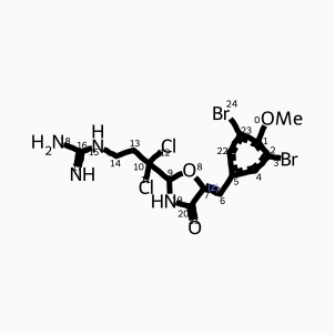 COc1c(Br)cc(/C=C2\OC(C(Cl)(Cl)CCNC(=N)N)NC2=O)cc1Br